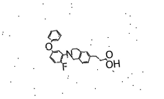 O=C(O)CCc1ccc2c(c1)CCN(c1cc(Oc3ccccc3)ccc1F)C2